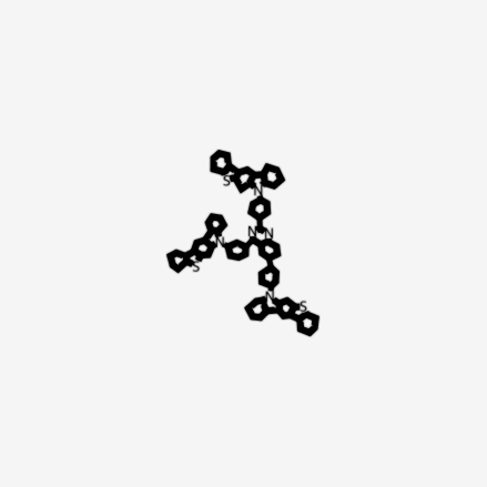 c1cc(-c2nc(-c3ccc(-n4c5ccccc5c5cc6c(cc54)sc4ccccc46)cc3)nc3ccc(-c4ccc(-n5c6ccccc6c6cc7c(cc65)sc5ccccc57)cc4)cc23)cc(-n2c3ccccc3c3cc4c(cc32)sc2ccccc24)c1